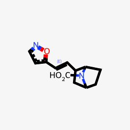 O=C(O)N1C2CCC1C(/C=C/c1ccno1)C2